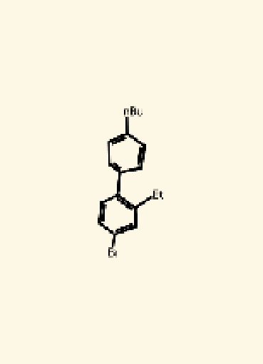 CCCCc1ccc(-c2ccc(Br)cc2CC)cc1